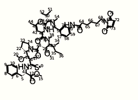 C=S=C(N[C@@H](Cc1ccccc1)C(=O)OC)[C@H](C)[C@@H](OC)[C@@H]1CCCN1C(=O)C[C@@H](OC)[C@H]([C@@H](C)CC)N(C)C(=O)C(C=C(C)C)NC(=O)[C@H](C(C)C)N(C)Cc1cccc(NC(=O)CCCCCN2C(=O)C=CC2=O)c1